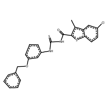 Cc1c(C(=O)NC(=S)Nc2cccc(OCc3ccccc3)c2)sc2ccc(Cl)cc12